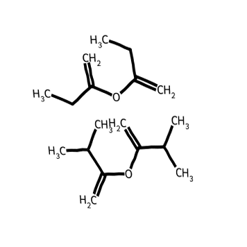 C=C(CC)OC(=C)CC.C=C(OC(=C)C(C)C)C(C)C